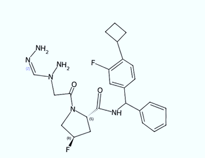 N/N=C\N(N)CC(=O)N1C[C@H](F)C[C@H]1C(=O)NC(c1ccccc1)c1ccc(C2CCC2)c(F)c1